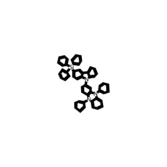 c1ccc(N2c3ccccc3N(c3ccccc3)c3cc(-n4c5ccccc5c5cc([Si](c6ccccc6)(c6ccccc6)c6ccccc6)ccc54)ccc32)cc1